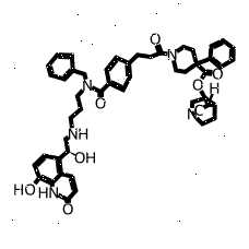 O=C(CCc1ccc(C(=O)N(CCCNC[C@H](O)c2ccc(O)c3[nH]c(=O)ccc23)Cc2ccccc2)cc1)N1CCC(C(=O)O[C@H]2CN3CCC2CC3)(c2ccccc2)CC1